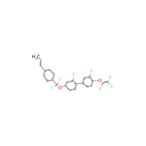 C/C=C/c1ccc(C(F)(F)Oc2ccc(-c3ccc(OC(F)=C(F)F)c(F)c3)c(F)c2)cc1